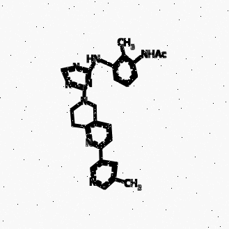 CC(=O)Nc1cccc(Nc2ncnc(N3CCc4nc(-c5cncc(C)c5)ccc4C3)n2)c1C